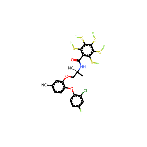 C[C@@](C#N)(COc1cc(C#N)ccc1Oc1ccc(F)cc1Cl)NC(=O)c1c(SF)c(SF)c(SF)c(SF)c1SF